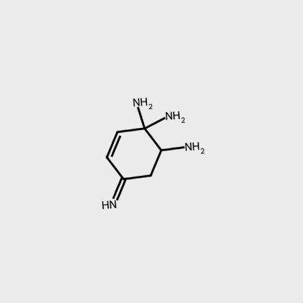 N=C1C=CC(N)(N)C(N)C1